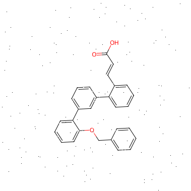 O=C(O)C=Cc1ccccc1-c1cccc(-c2ccccc2OCc2ccccc2)c1